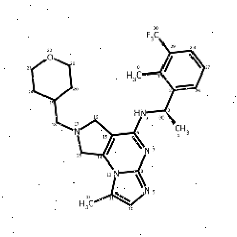 Cc1c([C@@H](C)Nc2nc3ncc(C)n3c3c2CN(CC2CCOCC2)C3)cccc1C(F)(F)F